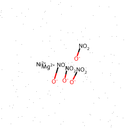 O=[N+]([O-])[O-].O=[N+]([O-])[O-].O=[N+]([O-])[O-].O=[N+]([O-])[O-].[Mg+2].[Ni+2]